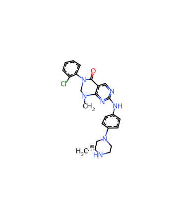 C[C@@H]1CN(c2ccc(Nc3ncc4c(n3)N(C)CN(c3ccccc3Cl)C4=O)cc2)CCN1